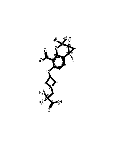 C[C@@](N)(CN1CC(Oc2ccc3c(c2C(=O)O)O[B-](O)(O)[C@H]2C[C@@H]32)C1)C(=O)O